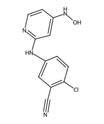 N#Cc1cc(Nc2cc(NO)ccn2)ccc1Cl